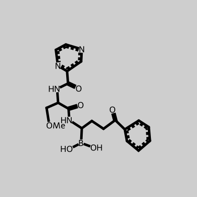 COCC(NC(=O)c1cnccn1)C(=O)NC(CCC(=O)c1ccccc1)B(O)O